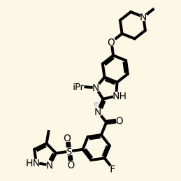 Cc1c[nH]nc1S(=O)(=O)c1cc(F)cc(C(=O)/N=c2\[nH]c3ccc(OC4CCN(C)CC4)cc3n2C(C)C)c1